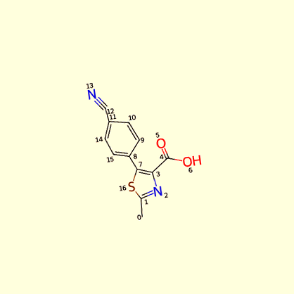 Cc1nc(C(=O)O)c(-c2ccc(C#N)cc2)s1